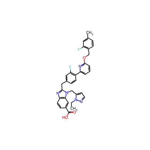 CCn1nccc1Cn1c(Cc2ccc(-c3cccc(OCc4ccc(C)cc4F)n3)c(F)c2)nc2ccc(C(=O)O)cc21